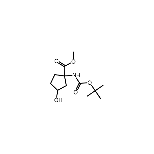 COC(=O)C1(NC(=O)OC(C)(C)C)CCC(O)C1